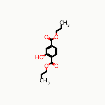 CCCOC(=O)c1ccc(C(=O)OCCC)c(O)c1